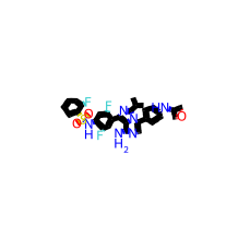 CC(C)c1nc(-c2cc(F)c(NS(=O)(=O)c3ccccc3F)cc2F)c2c(N)ncc(-c3ccc(NC4COC4)cc3)n12